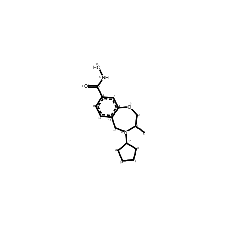 CC1COc2cc(C(=O)NO)ccc2CN1C1CCCC1